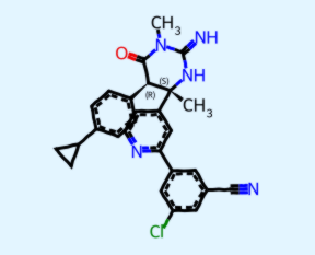 CN1C(=N)N[C@](C)(c2ccnc(-c3cc(Cl)cc(C#N)c3)c2)[C@@H](c2ccc(C3CC3)cc2)C1=O